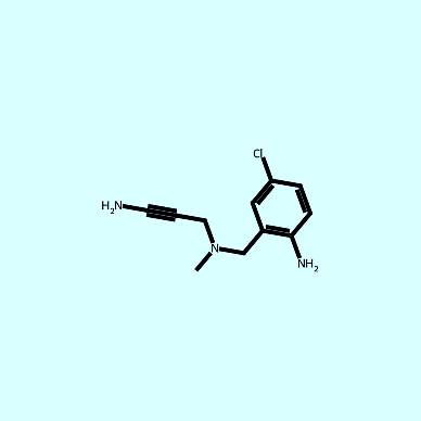 CN(CC#CN)Cc1cc(Cl)ccc1N